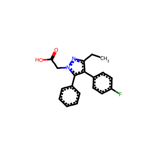 CCc1nn(CC(=O)O)c(-c2ccccc2)c1-c1ccc(F)cc1